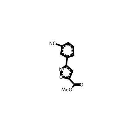 COC(=O)c1cc(-c2cccc(C#N)c2)no1